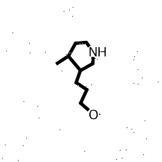 CC1CCNCC1CCC[O]